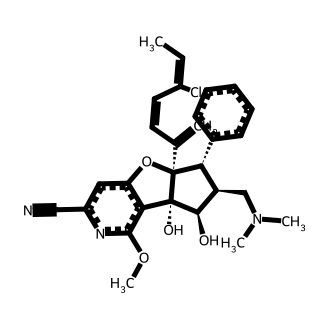 C=C(/C=C\C(Cl)=C/C)[C@@]12Oc3cc(C#N)nc(OC)c3[C@]1(O)[C@H](O)[C@H](CN(C)C)[C@H]2c1ccccc1